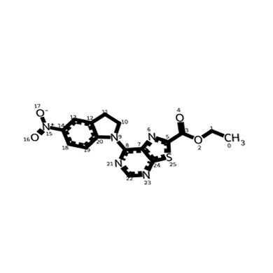 CCOC(=O)c1nc2c(N3CCc4cc([N+](=O)[O-])ccc43)ncnc2s1